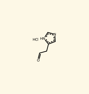 Cl.O=CCc1cnc[nH]1